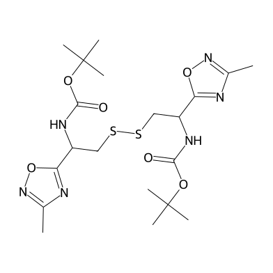 Cc1noc(C(CSSCC(NC(=O)OC(C)(C)C)c2nc(C)no2)NC(=O)OC(C)(C)C)n1